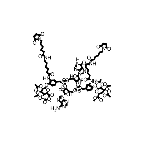 COC(=O)C1O[C@@H](Oc2ccc(CSP3(=O)OC[C@H]4O[C@@H](n5cnc6c(=O)[nH]cnc65)[C@H](F)[C@@H]4OP(=O)(SCc4ccc(O[C@@H]5OC(C(=O)OC)[C@@H](OC(C)=O)C(OC(C)=O)C5OC(C)=O)c(NC(=O)CCCCCNC(=O)CCCCCN5C(=O)C=CC5=O)c4)OC[C@H]4O[C@@H](n5cnc6c(N)ncnc65)[C@H](F)[C@@H]4O3)cc2NC(=O)CCCCCNC(=O)CCCCCN2C(=O)C=CC2=O)C(OC(C)=O)C(OC(C)=O)[C@@H]1OC(C)=O